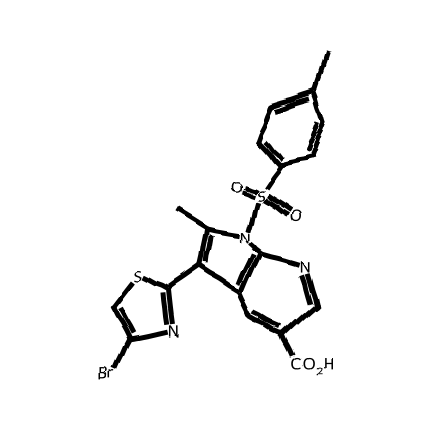 Cc1ccc(S(=O)(=O)n2c(C)c(-c3nc(Br)cs3)c3cc(C(=O)O)cnc32)cc1